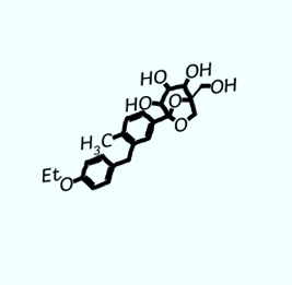 CCOc1ccc(Cc2cc(C34OC[C@](CO)(O3)C(O)C(O)C4O)ccc2C)cc1